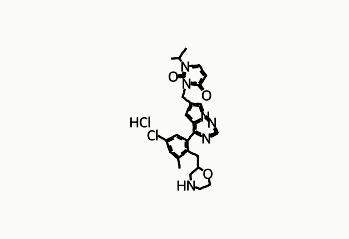 Cc1cc(Cl)cc(-c2ncnn3cc(Cn4c(=O)ccn(C(C)C)c4=O)cc23)c1CC1CNCCO1.Cl